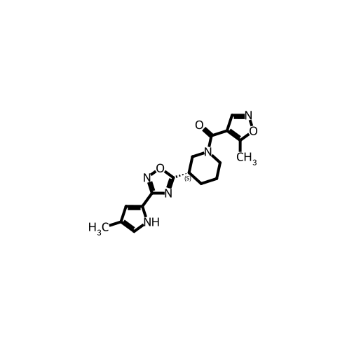 Cc1c[nH]c(-c2noc([C@H]3CCCN(C(=O)c4cnoc4C)C3)n2)c1